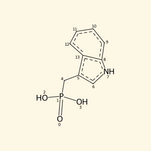 O=P(O)(O)Cc1c[nH]c2ccccc12